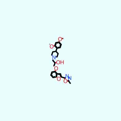 COc1ccc(C2CCN(CC(O)COc3cccc4oc(-c5nnc(C)o5)cc34)CC2)c(OC)c1